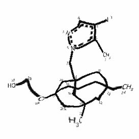 Cc1c(I)cnn1CC12CC3(C)CC(C)(C1)CC(OCO)(C3)C2